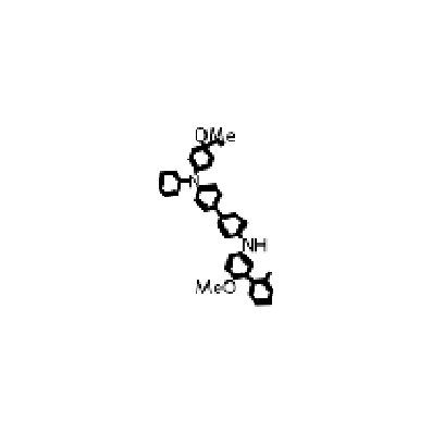 C=CC1(OC)C=CC(N(c2ccccc2)c2ccc(-c3ccc(Nc4ccc(OC)c(-c5ccccc5C)c4)cc3)cc2)=CC1